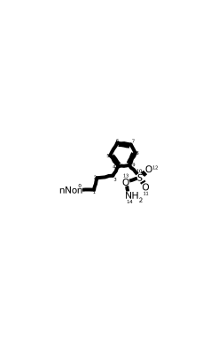 CCCCCCCCCCCCc1ccccc1S(=O)(=O)ON